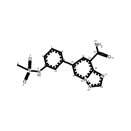 CS(=O)(=O)Nc1cccc(-c2cc(C(N)=O)c3n[c]nn3c2)c1